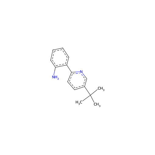 CC(C)(C)c1ccc(-c2ccccc2N)nc1